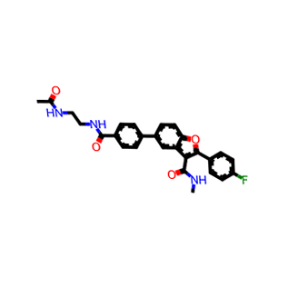 CNC(=O)c1c(-c2ccc(F)cc2)oc2ccc(-c3ccc(C(=O)NCCNC(C)=O)cc3)cc12